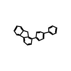 c1ccc(-c2ccc(-c3cccc4c3Cc3ccccc3-4)cc2)cc1